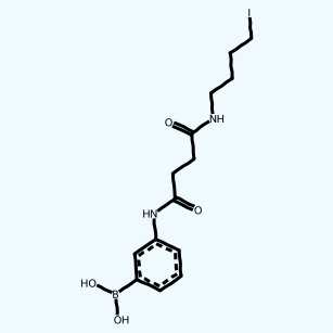 O=C(CCC(=O)Nc1cccc(B(O)O)c1)NCCCCI